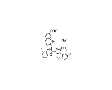 Cn1nc(C(=O)N(CC(=O)Nc2cc(C(=O)[O-])ccc2F)Cc2ccccc2F)c2c1-c1cc(F)ccc1OC2.[Na+]